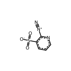 N#[N+]c1ncccc1S(=O)(=O)[O-]